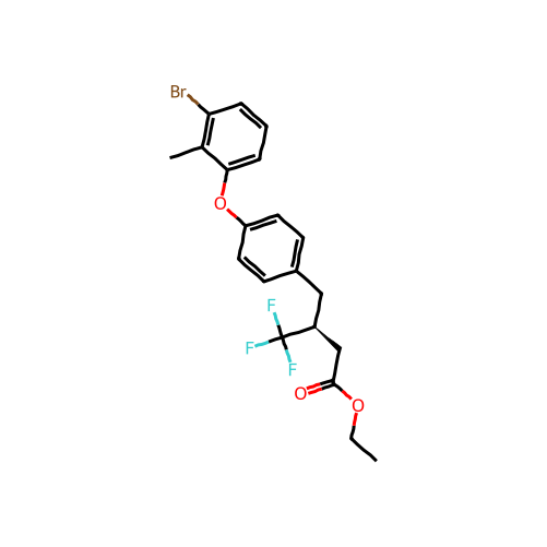 CCOC(=O)C[C@H](Cc1ccc(Oc2cccc(Br)c2C)cc1)C(F)(F)F